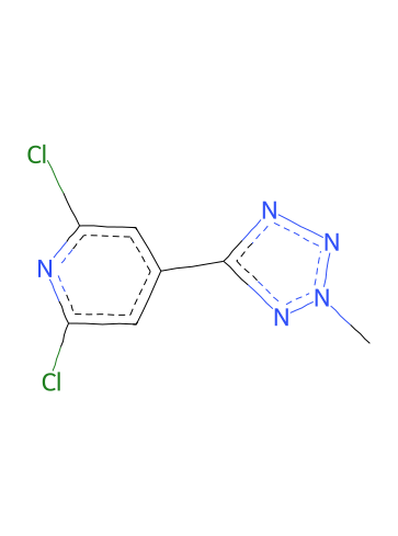 Cn1nnc(-c2cc(Cl)nc(Cl)c2)n1